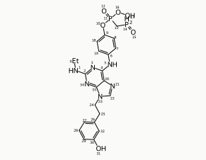 CCNc1nc(Nc2ccc(OP(=O)(C[PH2]=O)OO)cc2)c2ncn(CCc3cccc(O)c3)c2n1